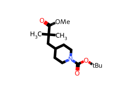 COC(=O)C(C)(C)CC1CCN(C(=O)OC(C)(C)C)CC1